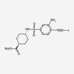 COC(=O)[C@H]1CC[C@H](NS(=O)(=O)c2ccc(C#CI)c(N)c2)CC1